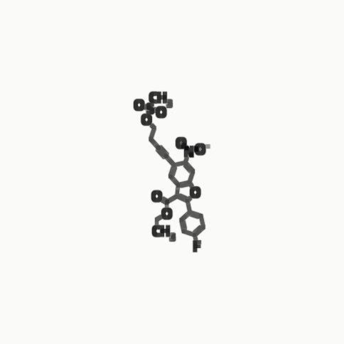 CCOC(=O)c1c(-c2ccc(F)cc2)oc2cc([N+](=O)[O-])c(C#CCCOS(C)(=O)=O)cc12